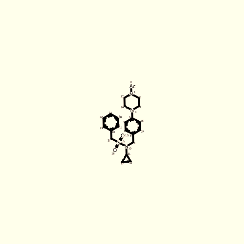 CC(=O)N1CCN(c2ccc(CN(C3CC3)S(=O)(=O)Cc3ccccc3)cc2)CC1